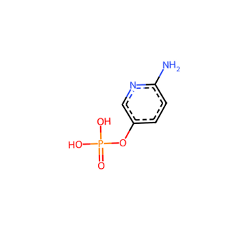 Nc1ccc(OP(=O)(O)O)cn1